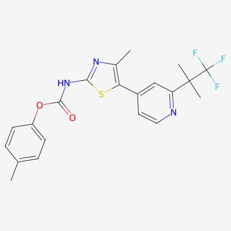 Cc1ccc(OC(=O)Nc2nc(C)c(-c3ccnc(C(C)(C)C(F)(F)F)c3)s2)cc1